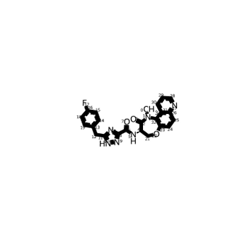 CN1C(=O)[C@@H](NC(=O)c2n[nH]c(Cc3ccc(F)cc3)n2)COc2ccc3ncccc3c21